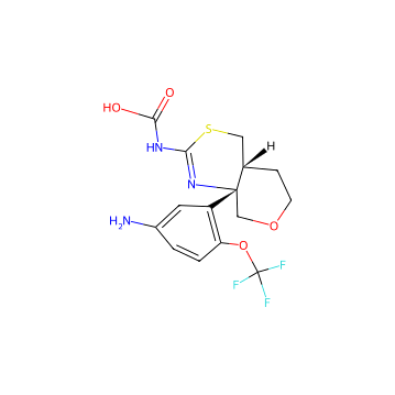 Nc1ccc(OC(F)(F)F)c([C@]23COCC[C@H]2CSC(NC(=O)O)=N3)c1